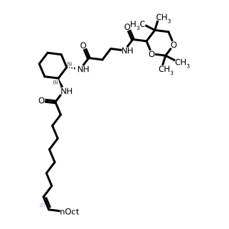 CCCCCCCC/C=C\CCCCCCCC(=O)N[C@H]1CCCC[C@@H]1NC(=O)CCNC(=O)C1OC(C)(C)OCC1(C)C